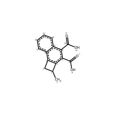 CC1Cc2c1c(C(=O)O)c(C(=O)O)c1ccccc21